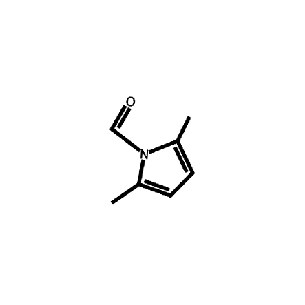 Cc1ccc(C)n1C=O